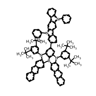 CC(C)(C)c1cc(N2c3cc4cc5ccccc5cc4cc3B3c4cc5cc6ccccc6cc5cc4N(c4cc(C(C)(C)C)cc(C(C)(C)C)c4)c4cc(-c5ccc6c7cc8c(cc7n(-c7ccccc7)c6c5)c5ccccc5n8-c5ccccc5)cc2c43)cc(C(C)(C)C)c1